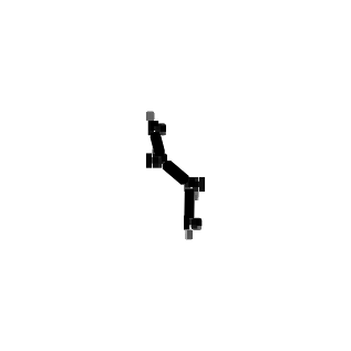 [Fe][PH][PH][Fe]